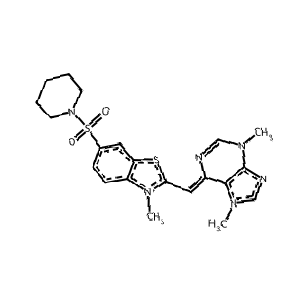 CN1C=N/C(=C\c2sc3cc(S(=O)(=O)N4CCCCC4)ccc3[n+]2C)c2c1ncn2C